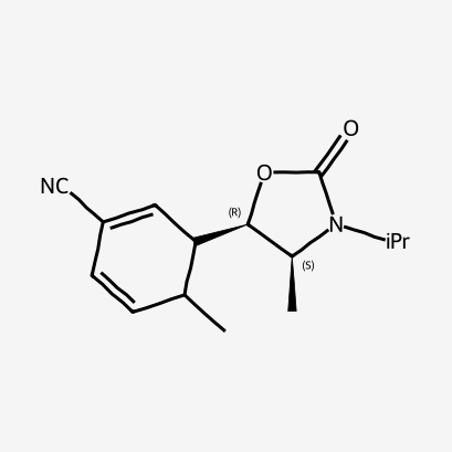 CC1C=CC(C#N)=CC1[C@H]1OC(=O)N(C(C)C)[C@H]1C